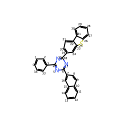 c1ccc(-c2nc(-c3ccc4ccccc4c3)nc(-c3ccc4c(c3)sc3ccccc34)n2)cc1